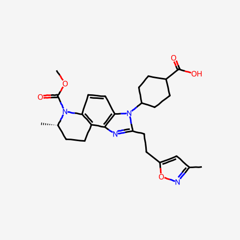 COC(=O)N1c2ccc3c(nc(CCc4cc(C)no4)n3C3CCC(C(=O)O)CC3)c2CC[C@@H]1C